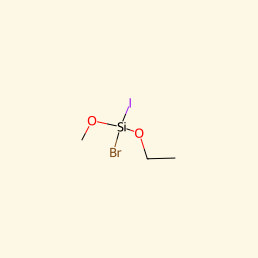 CCO[Si](Br)(I)OC